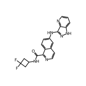 O=C(NC1CC(F)(F)C1)c1nccc2cc(Nc3n[nH]c4cccnc34)ccc12